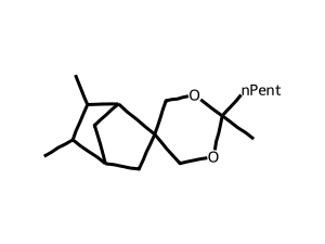 CCCCCC1(C)OCC2(CO1)CC1CC2C(C)C1C